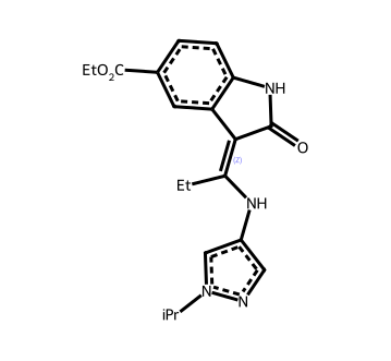 CCOC(=O)c1ccc2c(c1)/C(=C(\CC)Nc1cnn(C(C)C)c1)C(=O)N2